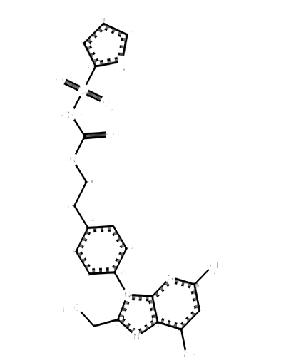 CCc1nc2c(C)cc(C)nc2n1-c1ccc(CCNC(=O)NS(=O)(=O)c2cccs2)cc1